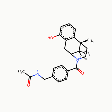 CC(=O)NCc1ccc(C(=O)N2CC[C@@]3(C)c4cccc(O)c4CC2C3(C)C)cc1